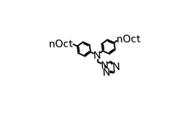 CCCCCCCCc1ccc(N(Cn2cncn2)c2ccc(CCCCCCCC)cc2)cc1